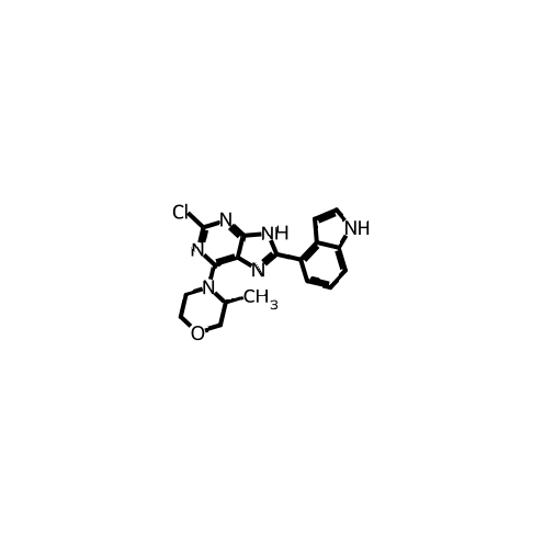 CC1COCCN1c1nc(Cl)nc2[nH]c(-c3cccc4[nH]ccc34)nc12